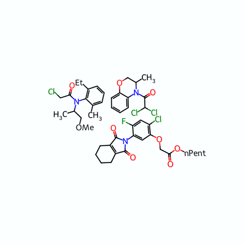 CC1COc2ccccc2N1C(=O)C(Cl)Cl.CCCCCOC(=O)COc1cc(N2C(=O)C3=C(CCCC3)C2=O)c(F)cc1Cl.CCc1cccc(C)c1N(C(=O)CCl)C(C)COC